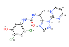 CC(NC(=O)Nc1cc(O)c(Cl)cc1Cl)c1ncnn1-c1ncccn1